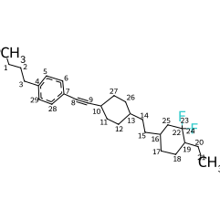 CCCCc1ccc(C#CC2CCC(CCC3CCC(CC)C(F)(F)C3)CC2)cc1